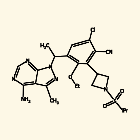 CCOc1c(C(C)n2nc(C)c3c(N)ncnc32)cc(Cl)c(C#N)c1C1CN(S(=O)(=O)C(C)C)C1